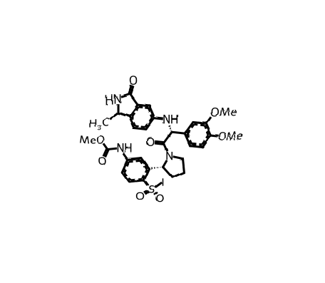 COC(=O)Nc1ccc(S(=O)(=O)I)c([C@H]2CCCN2C(=O)[C@H](Nc2ccc3c(c2)C(=O)NC3C)c2ccc(OC)c(OC)c2)c1